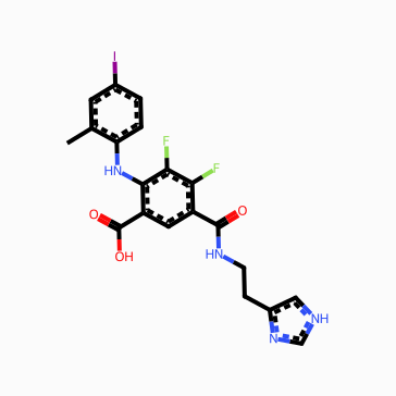 Cc1cc(I)ccc1Nc1c(C(=O)O)cc(C(=O)NCCc2c[nH]cn2)c(F)c1F